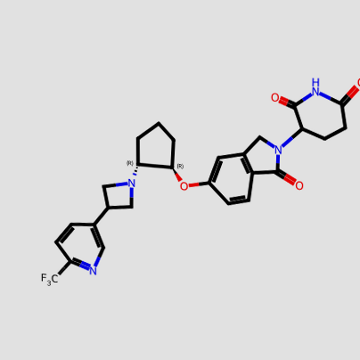 O=C1CCC(N2Cc3cc(O[C@@H]4CCC[C@H]4N4CC(c5ccc(C(F)(F)F)nc5)C4)ccc3C2=O)C(=O)N1